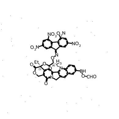 CC[C@@]1(OC(=O)[C@@H](C)ON=C2c3cc([N+](=O)[O-])cc([N+](=O)[O-])c3-c3c2cc([N+](=O)[O-])cc3[N+](=O)[O-])C(=O)OCc2c1cc1n(c2=O)Cc2cc3cc(BOC=O)ccc3nc2-1